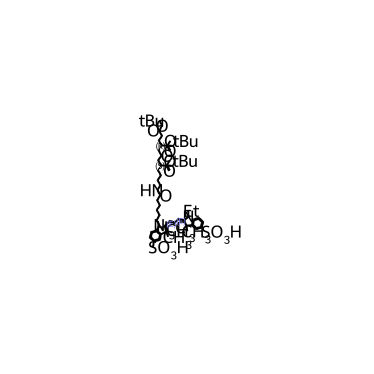 CCN1/C(=C/C=C/C2N(CCCCCC(=O)NCCCC[C@@H](CC(=O)C[C@@H](CCC(=O)OC(C)(C)C)C(=O)OC(C)(C)C)C(=O)OC(C)(C)C)c3ccc(S(=O)(=O)O)cc3C2(C)C)C(C)(C)c2cc(S(=O)(=O)O)ccc21